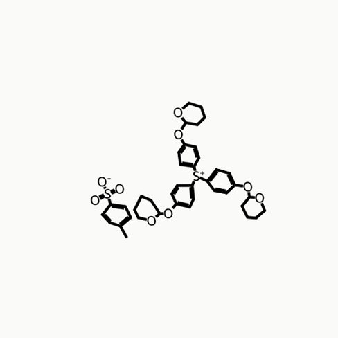 Cc1ccc(S(=O)(=O)[O-])cc1.c1cc([S+](c2ccc(OC3CCCCO3)cc2)c2ccc(OC3CCCCO3)cc2)ccc1OC1CCCCO1